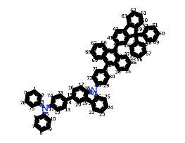 c1ccc(N(c2ccccc2)c2ccc(-c3ccc4c(c3)c3ccccc3n4-c3ccc(-c4c5ccccc5c(-c5ccc6c(c5)C(c5ccccc5)(c5ccccc5)c5ccccc5-6)c5ccccc45)cc3)cc2)cc1